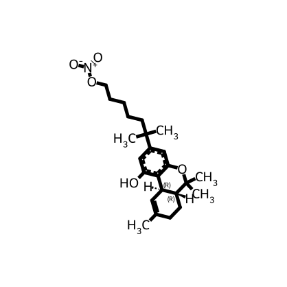 CC1=C[C@H]2c3c(O)cc(C(C)(C)CCCCCO[N+](=O)[O-])cc3OC(C)(C)[C@@H]2CC1